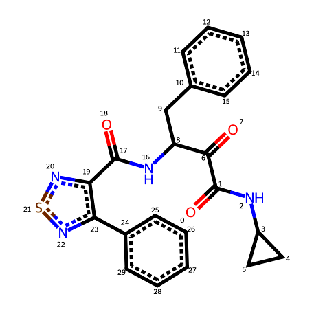 O=C(NC1CC1)C(=O)C(Cc1ccccc1)NC(=O)c1nsnc1-c1ccccc1